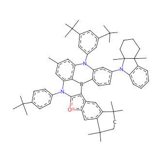 Cc1cc2c3c(c1)N(c1ccc(C(C)(C)C)cc1)c1oc4cc5c(cc4c1B3c1ccc(N3c4ccccc4C4(C)CCCCC34C)cc1N2c1cc(C(C)(C)C)cc(C(C)(C)C)c1)C(C)(C)CCC5(C)C